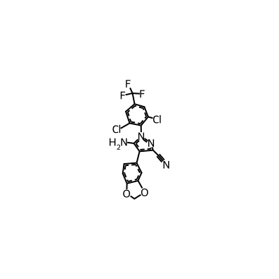 N#Cc1nn(-c2c(Cl)cc(C(F)(F)F)cc2Cl)c(N)c1-c1ccc2c(c1)OCO2